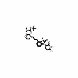 CN(C[C@@H]1CN(CCCc2cccc3c2n(C)c(=O)n3C2CCC(=O)NC2=O)CCO1)C(=O)OC(C)(C)C